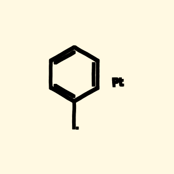 [CH2]c1ccccc1.[Pt]